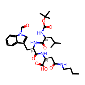 CCCCNC(=O)C[C@H](NC(=O)[C@@H](Cc1cn(C=O)c2ccccc12)NC(=O)[C@H](CC(C)C)NC(=O)OC(C)(C)C)C(=O)O